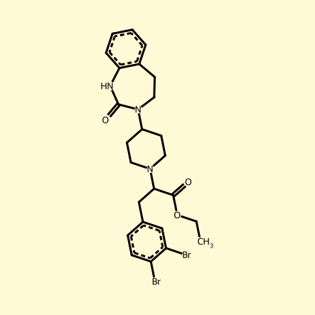 CCOC(=O)C(Cc1ccc(Br)c(Br)c1)N1CCC(N2CCc3ccccc3NC2=O)CC1